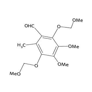 COCOc1c(C)c(C=O)c(OCOC)c(OC)c1OC